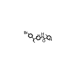 C/C=C(/c1ccc(Br)cc1)c1ccc(NC(=O)c2cnccc2C)nc1